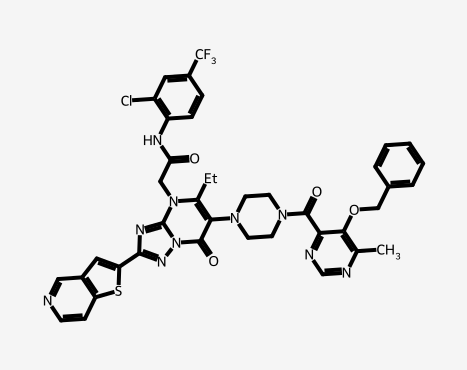 CCc1c(N2CCN(C(=O)c3ncnc(C)c3OCc3ccccc3)CC2)c(=O)n2nc(-c3cc4cnccc4s3)nc2n1CC(=O)Nc1ccc(C(F)(F)F)cc1Cl